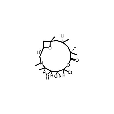 CC[C@H]1OC(=O)[C@H](C)C[C@H](C)C[C@@]2(C)C[C@H](CN(C)[C@H](C)[C@@H](O)[C@]1(C)O)O2